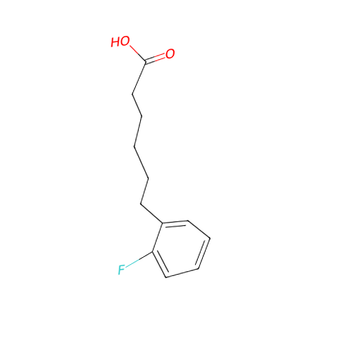 O=C(O)CCCCCc1ccccc1F